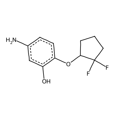 Nc1ccc(OC2CCCC2(F)F)c(O)c1